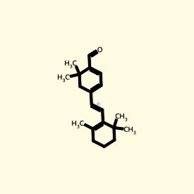 CC1=C(/C=C/C2=CC=C(C=O)C(C)(C)C2)C(C)(C)CCC1